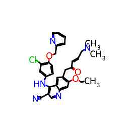 CCOc1cc2ncc(C#N)c(Nc3ccc(OCc4ccccn4)c(Cl)c3)c2cc1CC(=O)/C=C/CN(C)C